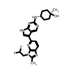 Cc1nc2ccc(-c3c[nH]c4nc(N[C@H]5CC[C@](C)(O)CC5)ncc34)nc2n1CC(F)F